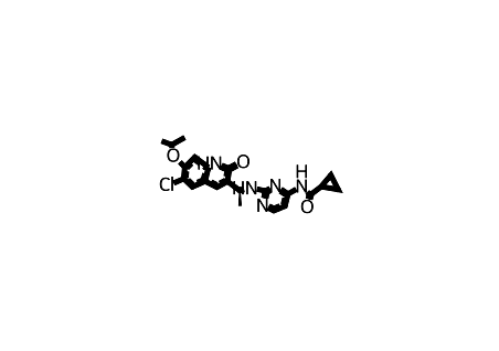 CC(C)Oc1cc2[nH]c(=O)c([C@H](C)Nc3nccc(NC(=O)C4CC4)n3)cc2cc1Cl